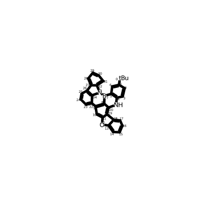 CC(C)(C)c1ccc2c(c1)B1c3c(cc4oc5ccccc5c4c3N2)-c2cccc3c4ccccc4n1c23